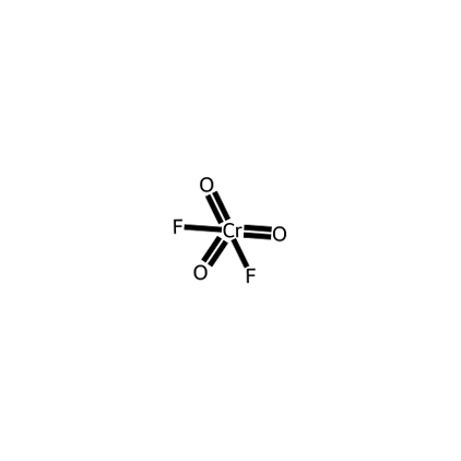 [O]=[Cr](=[O])(=[O])([F])[F]